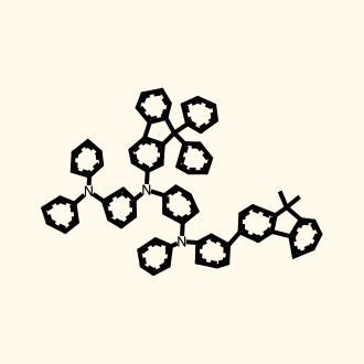 CC1(C)c2ccccc2-c2cc(-c3cccc(N(c4ccccc4)c4cccc(N(c5cccc(N(c6ccccc6)c6ccccc6)c5)c5ccc6c(c5)C(c5ccccc5)(c5ccccc5)c5ccccc5-6)c4)c3)ccc21